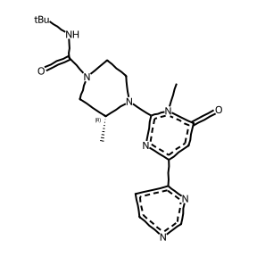 C[C@@H]1CN(C(=O)NC(C)(C)C)CCN1c1nc(-c2ccncn2)cc(=O)n1C